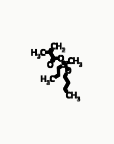 C=C(C)C(=O)O[Si](C)(CCC)OCCCC